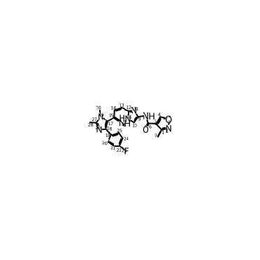 Cc1nocc1C(=O)Nc1c[nH]c(/C=C\C(=N)c2c(-c3ccc(F)cc3)nc(C)n2C)n1